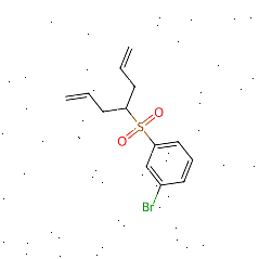 C=CCC(CC=C)S(=O)(=O)c1cccc(Br)c1